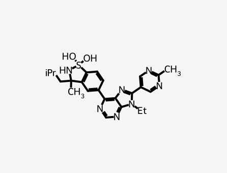 CCn1c(-c2cnc(C)nc2)nc2c(-c3ccc4c(c3)C(C)(CC(C)C)NS4(O)O)ncnc21